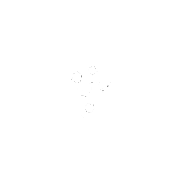 Cc1cccc(-c2sc(C)nc2C(=O)N2C[C@@H]3C[C@@H]3[C@H]2CNC(=O)c2cccc3c2OCCN3C)c1